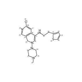 CN1CCN(N2C=C(NCCc3cccs3)c3cc(Cl)ncc3C2)CC1